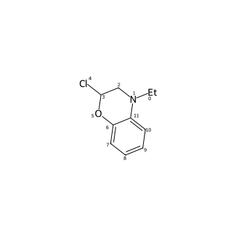 CCN1CC(Cl)Oc2ccccc21